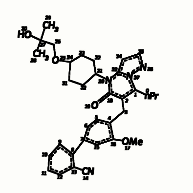 CCCc1c(Cc2ccc(-c3ccccc3C#N)cc2OC)c(=O)n(C2CCC(OCC(C)(C)O)CC2)c2ccnn12